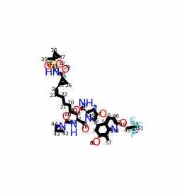 COc1ccc2c(O[C@@H]3C[C@@H](C(N)=O)N(C(=O)[C@H](CCCCC/C=C\[C@@H]4C[C@@H]4C(=O)NS(=O)(=O)C4(C)CC4)NC(=O)N4CCC4)C3)cc(OCC(F)(F)F)nc2c1C